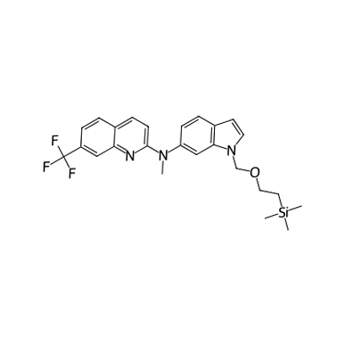 CN(c1ccc2ccn(COCC[Si](C)(C)C)c2c1)c1ccc2ccc(C(F)(F)F)cc2n1